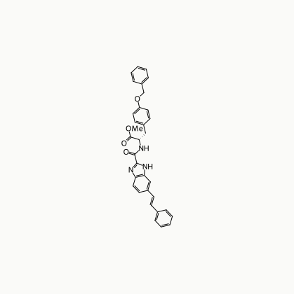 COC(=O)[C@H](Cc1ccc(OCc2ccccc2)cc1)NC(=O)c1nc2ccc(/C=C/c3ccccc3)cc2[nH]1